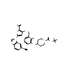 C[C@@H](Oc1cc(-n2cnc3ccc(C#N)cc32)sc1C(N)=O)c1cccc(OC2CCN(C(=O)OC(C)(C)C)CC2)c1Cl